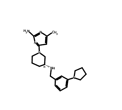 Cc1cc(N2CCC[C@@H](NCc3cccc(N4CCCC4)c3)C2)nc(N)n1